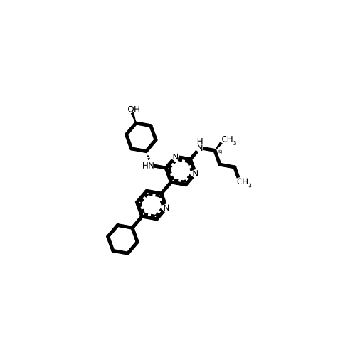 CCC[C@H](C)Nc1ncc(-c2ccc(C3CCCCC3)cn2)c(N[C@H]2CC[C@H](O)CC2)n1